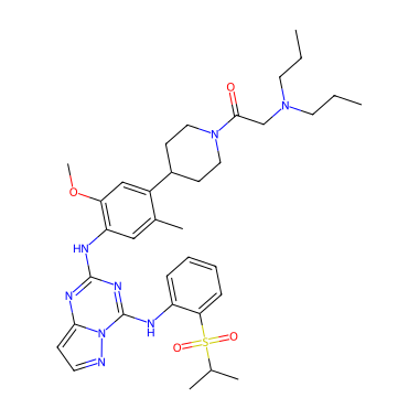 CCCN(CCC)CC(=O)N1CCC(c2cc(OC)c(Nc3nc(Nc4ccccc4S(=O)(=O)C(C)C)n4nccc4n3)cc2C)CC1